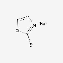 [Na+].[S-]c1ncco1